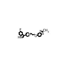 Cc1nc2cc(OCCCN3CC=C(c4c[nH]c5ccc(F)cc45)CC3)ccc2s1